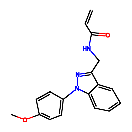 C=CC(=O)NCc1nn(-c2ccc(OC)cc2)c2ccccc12